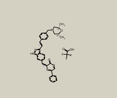 C[C@@H]1CN(Cc2ccc(/C=C/c3n[nH]c4cc(/C=C5/N=C(c6ccccc6)C=NC5=O)ccc34)cc2)C[C@H](C)O1.O=C(O)C(F)(F)F